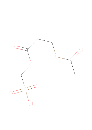 CC(=O)SC[C@@H](C)C(=O)OCS(=O)(=O)O